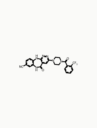 N#Cc1ccc2c(c1)NC(=O)c1cc(N3CCN(C(=O)c4ccccc4C(F)(F)F)CC3)nnc1N2